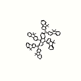 CC1(C)C2=C(C=CCC2)c2ccc(N(c3ccc4c(c3)C(C)(C)c3ccccc3-4)c3ccc4c(-c5ccc6c(c5)-c5ccccc5C6(C)C)c5cc(N(c6ccc7c(c6)C(C)(C)c6ccccc6-7)c6ccc7c(c6)C(C)(C)c6ccccc6-7)ccc5c(-c5ccc6c(c5)C(C)(C)c5ccccc5-6)c4c3)cc21